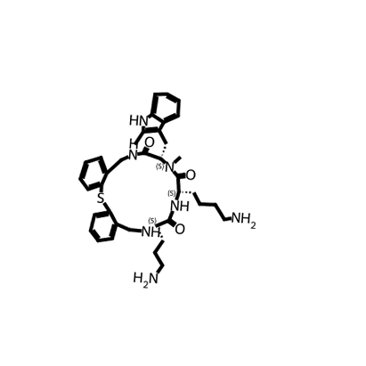 Cc1[nH]c2ccccc2c1C[C@H]1C(=O)NCc2ccccc2Sc2ccccc2CN[C@@H](CCCN)C(=O)N[C@@H](CCCCN)C(=O)N1C